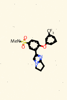 CNS(=O)(=O)c1ccc(Oc2cccc(C(F)(F)F)c2)c(-c2cn3c(n2)CCC3)c1